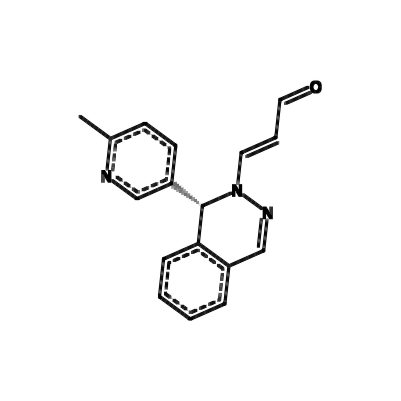 Cc1ccc([C@H]2c3ccccc3C=NN2/C=C/C=O)cn1